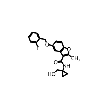 Cc1oc2ccc(OCc3ccccc3F)cc2c1C(=O)NC1(CO)CC1